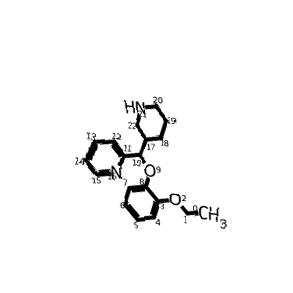 CCOc1ccccc1OC(c1ccccn1)C1CCCNC1